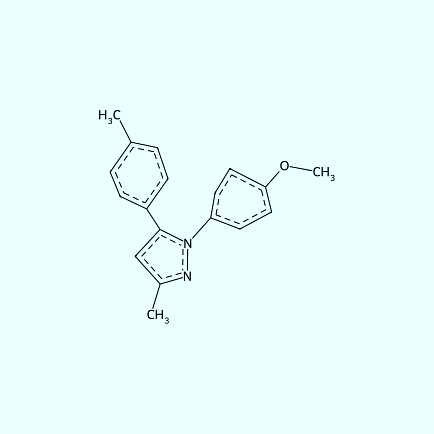 COc1ccc(-n2nc(C)cc2-c2ccc(C)cc2)cc1